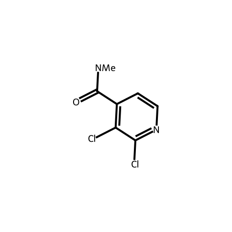 CNC(=O)c1ccnc(Cl)c1Cl